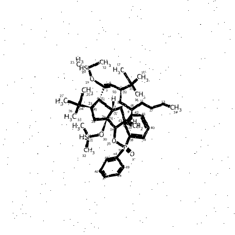 C=C1C[C@H]2[C@@H](C(=C[C@H](C[C@H](C)CCCC)C(C)(C)C)O[SiH](C)C)[C@H](C(C)(C)C)C[C@@]2(O[SiH](C)C)C1OP(=O)(c1ccccc1)c1ccccc1